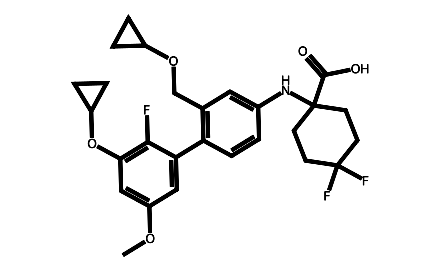 COc1cc(OC2CC2)c(F)c(-c2ccc(NC3(C(=O)O)CCC(F)(F)CC3)cc2COC2CC2)c1